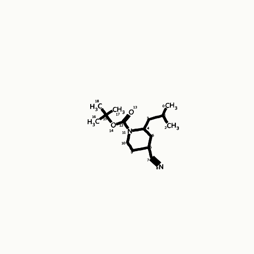 CC(C)CC1CC(C#N)CCN1C(=O)OC(C)(C)C